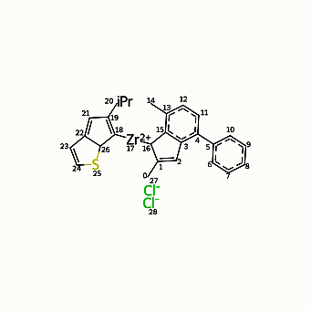 CC1=Cc2c(-c3ccccc3)ccc(C)c2[CH]1[Zr+2][C]1=C(C(C)C)C=C2C=CSC21.[Cl-].[Cl-]